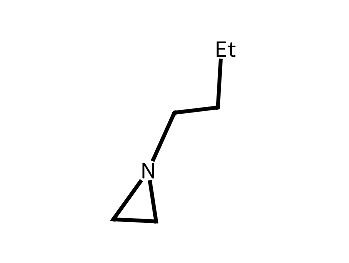 CCCCN1CC1